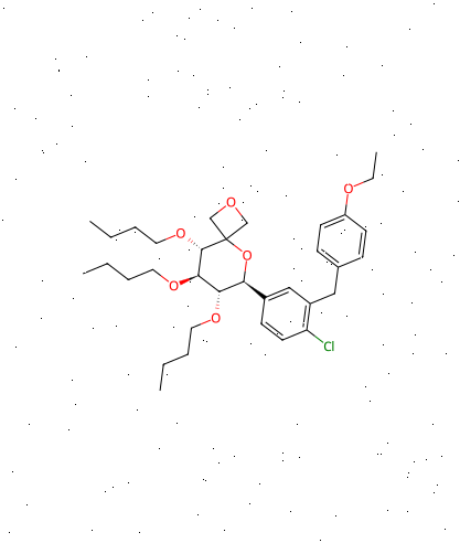 CCCCO[C@@H]1[C@@H](OCCCC)[C@H](OCCCC)C2(COC2)O[C@H]1c1ccc(Cl)c(Cc2ccc(OCC)cc2)c1